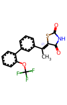 C/C(=C1/SC(=O)NC1=O)c1cccc(-c2ccccc2OC(F)(F)F)c1